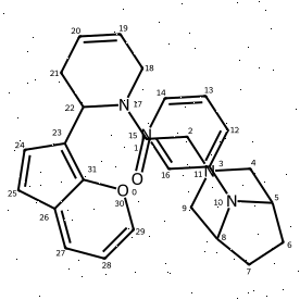 O=C(CN1CC2CCC(C1)N2c1cccnc1)N1CC=CCC1c1ccc2cccoc1-2